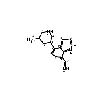 CC1CNCC(c2ccc(C=N)c3ncccc23)C1